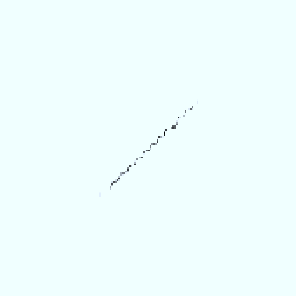 CCCCCCCCCCCCCCC/C=C/C1OC1CCCC(=O)O